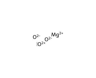 [Mg+2].[O+2].[O-2].[O-2]